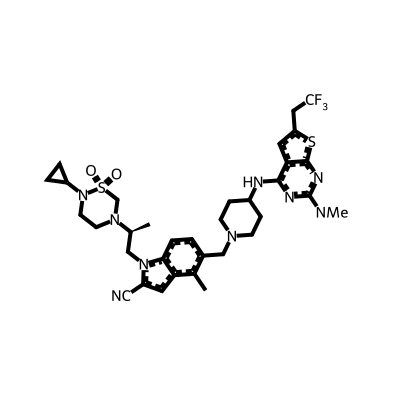 CNc1nc(NC2CCN(Cc3ccc4c(cc(C#N)n4C[C@H](C)N4CCN(C5CC5)S(=O)(=O)C4)c3C)CC2)c2cc(CC(F)(F)F)sc2n1